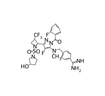 CN(Cc1ccc(C(=N)N)cc1)c1c(F)c(C2C(C(F)(F)F)CN2S(=O)(=O)N2CCC(O)C2)nn1C(=O)c1ccccc1F